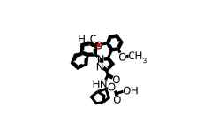 COc1cccc(OC)c1-c1cc(C(=O)NC2(OC(=O)O)CC3CCC2C3)nn1-c1cccc2ccccc12